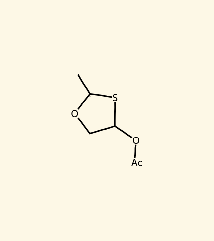 C[C]1OCC(OC(C)=O)S1